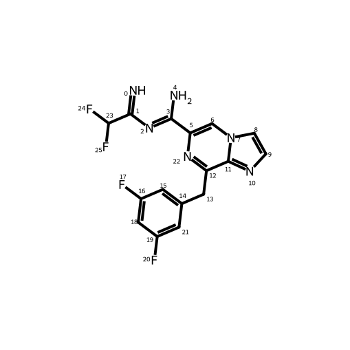 N=C(/N=C(\N)c1cn2ccnc2c(Cc2cc(F)cc(F)c2)n1)C(F)F